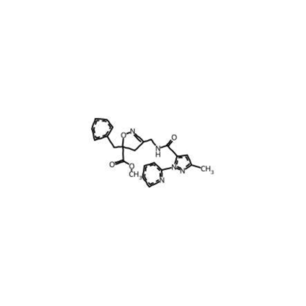 COC(=O)C1(Cc2ccccc2)CC(CNC(=O)c2cc(C)nn2-c2ccccn2)=NO1